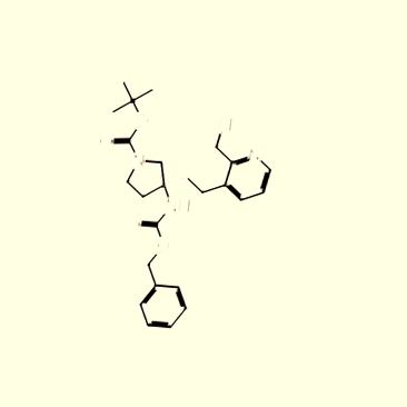 CC(C)(C)OC(=O)N1CC[C@](CCc2cccnc2CCl)(NC(=O)OCc2ccccc2)C1